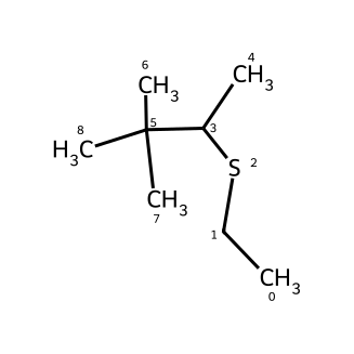 CCSC(C)C(C)(C)C